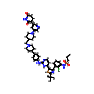 CCCS(=O)(=O)Nc1cccc(-c2nc(C(C)(C)C)sc2-c2ccnc(Nc3ccc(C4CCN(CC5CCN(c6cncc([C@@H]7CCC(=O)NC7=O)c6)CC5)CC4)cc3)n2)c1F